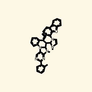 C=CC1c2ccccc2N2c3cnc(-c4ccccc4C)nc3N(C)C2C1C1N(C)C=CN1c1c(C)ccc2c1oc1ccccc12